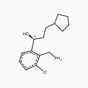 O[C@@H](CCN1CCCC1)c1cccc(Cl)c1CP